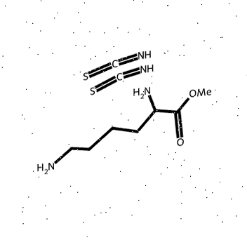 COC(=O)C(N)CCCCN.N=C=S.N=C=S